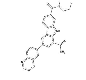 NC(=O)c1cc(-c2ccc3ncccc3c2)cc2c1[nH]c1cc(C(=O)N3CCOCC3)ccc12